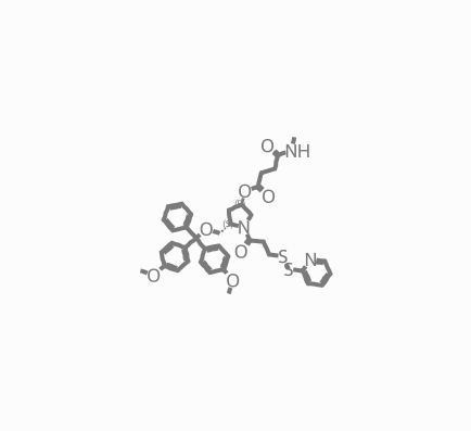 CNC(=O)CCC(=O)O[C@@H]1C[C@@H](COC(c2ccccc2)(c2ccc(OC)cc2)c2ccc(OC)cc2)N(C(=O)CCSSc2ccccn2)C1